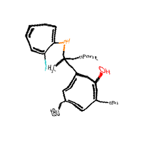 CCCCCC(C)(Pc1ccccc1F)c1cc(C(C)(C)C)cc(C(C)(C)C)c1O